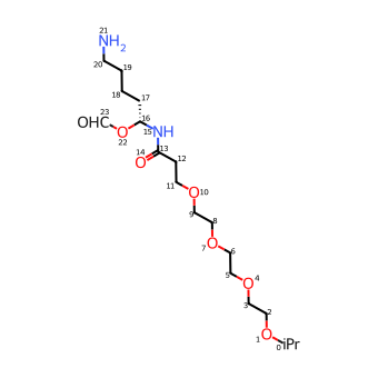 CC(C)OCCOCCOCCOCCC(=O)N[C@@H](CCCCN)OC=O